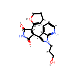 O=C1NC(=O)C(c2cn(CCCO)c3ncccc23)=C1C1=CCCCO1